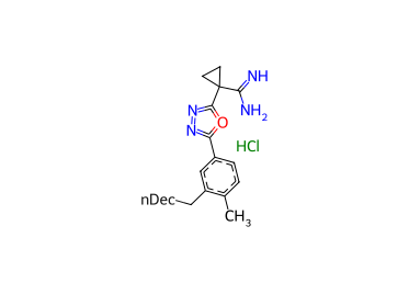 CCCCCCCCCCCc1cc(-c2nnc(C3(C(=N)N)CC3)o2)ccc1C.Cl